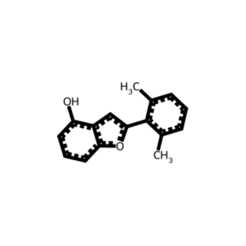 Cc1cccc(C)c1-c1cc2c(O)cccc2o1